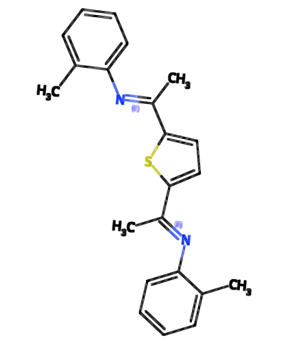 C/C(=N\c1ccccc1C)c1ccc(/C(C)=N/c2ccccc2C)s1